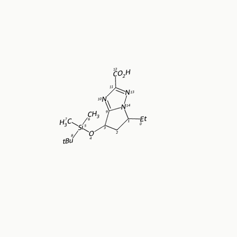 CCC1CC(O[Si](C)(C)C(C)(C)C)c2nc(C(=O)O)nn21